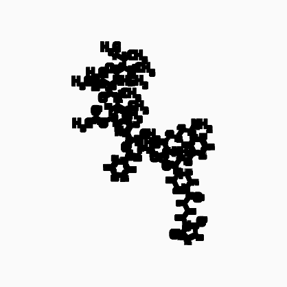 CCC(C)[C@H](C(=O)NC(C(=O)N(C)[C@H](C[C@@H](OC(C)=O)c1nc(C(=O)N(C)[C@@H](CSc2ccccc2)C(=O)N[C@H](CCCCN)C(=O)N[C@@H](Cc2ccccc2)C(=O)N2CCN(C(=O)CCCN3C(=O)C=CC3=O)CC2)cs1)C(C)C)[C@@H](C)CC)N(C)C